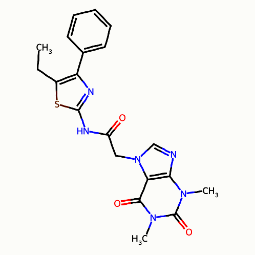 CCc1sc(NC(=O)Cn2cnc3c2c(=O)n(C)c(=O)n3C)nc1-c1ccccc1